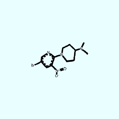 CN(C)C1CCN(c2ncc(Br)cc2[N+](=O)[O-])CC1